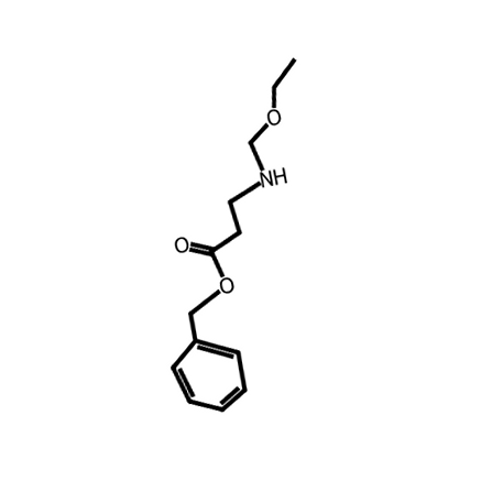 CCOCNCCC(=O)OCc1ccccc1